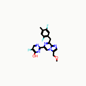 COCc1cnc2c(Cc3cc(F)c(C)cc3F)nc(-c3ncc(F)c(O)n3)cn12